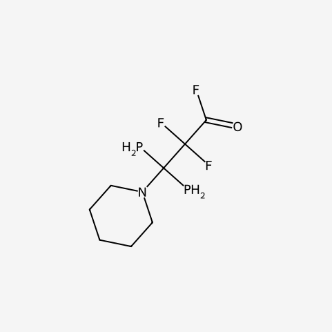 O=C(F)C(F)(F)C(P)(P)N1CCCCC1